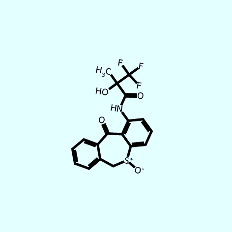 CC(O)(C(=O)Nc1cccc2c1C(=O)c1ccccc1C[S+]2[O-])C(F)(F)F